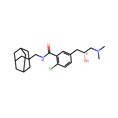 CN(C)C[C@H](O)Cc1ccc(Cl)c(C(=O)NCC23CC4CC(CC(C4)C2)C3)c1